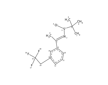 C/C(=N\[S+]([O-])C(C)(C)C)c1cccc(CC(F)(F)F)c1